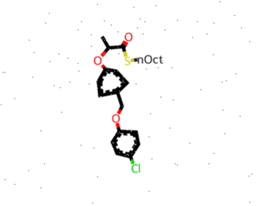 CCCCCCCCSC(=O)C(C)Oc1ccc(COc2ccc(Cl)cc2)cc1